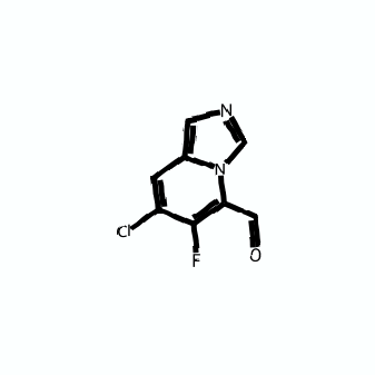 O=Cc1c(F)c(Cl)cc2cncn12